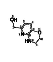 OCc1ccc2c(n1)NCCO2